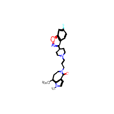 CCn1ccc2c1C(OC)CCN(CCCN1CCC(c3noc4cc(F)ccc34)CC1)C2=O